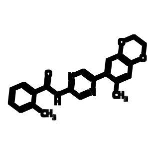 Cc1ccccc1C(=O)Nc1cnc(-c2cc3c(cc2C)OCCO3)cn1